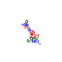 Nc1c(Br)cc(C[C@H](CC(=O)N2CCC(N3Cc4ccccc4NC3=O)CC2)C(=O)O)cc1Br